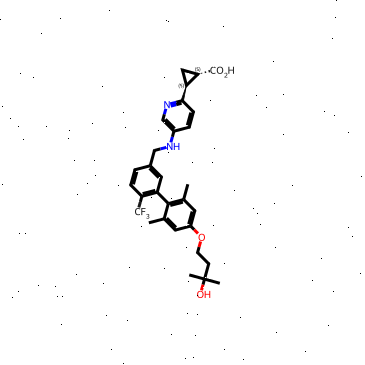 Cc1cc(OCCC(C)(C)O)cc(C)c1-c1cc(CNc2ccc([C@H]3C[C@@H]3C(=O)O)nc2)ccc1C(F)(F)F